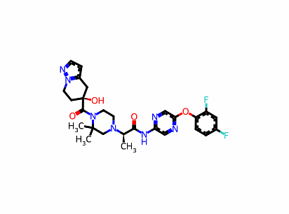 C[C@H](C(=O)Nc1cnc(Oc2ccc(F)cc2F)cn1)N1CCN(C(=O)[C@]2(O)CCn3nccc3C2)C(C)(C)C1